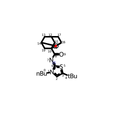 CCCCn1cc(C(C)(C)C)s/c1=N\C(=O)C12CC3CC(CC(C3)O1)C2